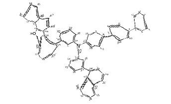 c1ccc(-c2ccc(-c3ccc(N(c4cccc(-c5cccc6ccccc56)c4)c4cccc(-c5cccc6oc7c8ccccc8ccc7c56)c4)cc3)cc2)cc1